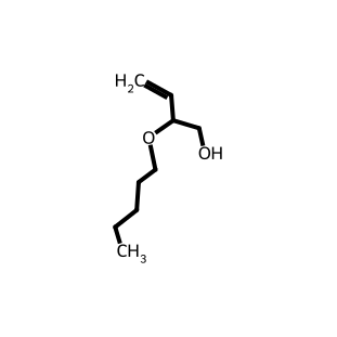 C=CC(CO)OCCCCC